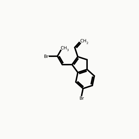 C=CC1=C(/C=C(\C)Br)c2cc(Br)ccc2C1